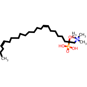 CCC/C=C\CCCCCCCCC/C=C\CCCCCC(O)(C[N+](C)(C)C)P(=O)(O)O